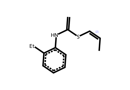 C=C(Nc1ccccc1CC)S/C=C\C